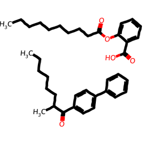 CCCCCCC(C)C(=O)c1ccc(-c2ccccc2)cc1.CCCCCCCCCC(=O)Oc1ccccc1C(=O)O